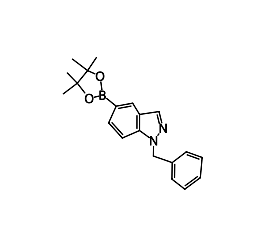 CC1(C)OB(c2ccc3c(cnn3Cc3ccccc3)c2)OC1(C)C